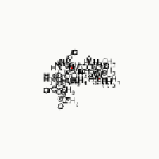 CCC1O[C@@H](OC2[C@H](O[C@H]3CCC4(C)C5CC=C6C7CC(C)(C)CC[C@]7(C(=O)O[C@@H]7OC(COCc8ccccc8)[C@H](N=[N+]=[N-])C(C)C7OC[C@@H]7O[C@H](C)[C@H](O[C@@H]8OC[C@@H](OCc9ccccc9)C(O[C@@H]9OC[C@]%10(CC)O[C@@H](c%11ccccc%11)OC9%10)C8C)C8OC(C)(C)OC87)C(OC)C[C@@]6(C)[C@@]5(C)CC[C@H]4[C@@]3(C)C=O)OC(C(C)=O)[C@@H](C)[C@@H]2O[C@@H]2OC[C@@H](C)[C@H](C)C2C)C(C)[C@@H](C)[C@H]1C